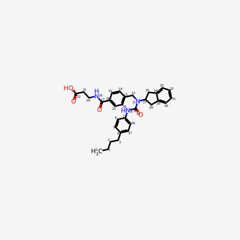 CCCCc1ccc(NC(=O)N(Cc2ccc(C(=O)NCCC(=O)O)cc2)C2Cc3ccccc3C2)cc1